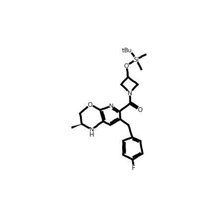 C[C@H]1COc2nc(C(=O)N3CC(O[Si](C)(C)C(C)(C)C)C3)c(Cc3ccc(F)cc3)cc2N1